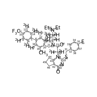 [2H]c1c([2H])c(-c2c([2H])c([2H])c(C(F)(F)F)c([2H])c2[2H])c([2H])c(C)c1CN(C(=O)C([2H])([2H])n1c(SCc2ccc(F)cc2)nc(=O)c2c1CCC2)C([2H])([2H])C([2H])([2H])N(CC)CC